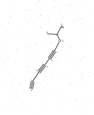 C#CC#CC#COC(C)C(C)C